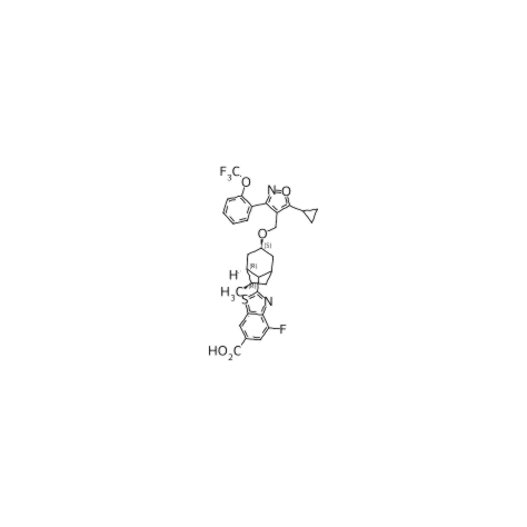 C[C@@H]1CC2C[C@H](OCc3c(-c4ccccc4OC(F)(F)F)noc3C3CC3)C[C@H]1C2c1nc2c(F)cc(C(=O)O)cc2s1